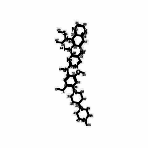 CCc1cc(N(C)c2ncc(Br)c(N(I)c3ccc4nccnc4c3N(CC)SC)n2)c(OC)cc1N1CCC(N2CCN(C)CC2)CC1